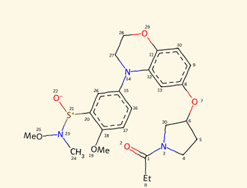 CCC(=O)N1CCC(Oc2ccc3c(c2)N(c2ccc(OC)c([S+]([O-])N(C)OC)c2)CCO3)C1